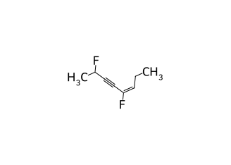 CC/C=C(/F)C#CC(C)F